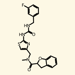 CN(Cc1csc(NC(=O)NCc2cccc(F)c2)n1)C(=O)C1Cc2ccccc2O1